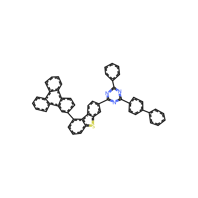 c1ccc(-c2ccc(-c3nc(-c4ccccc4)nc(-c4ccc5c(c4)sc4cccc(-c6ccc7c8ccccc8c8ccccc8c7c6)c45)n3)cc2)cc1